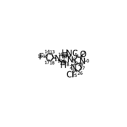 Cn1c(=O)c(C#N)c(N2C[C@H]3CN(c4ccc(F)cc4)C[C@@H]3C2)c2nc(Cl)ccc21